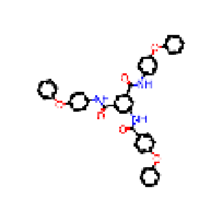 O=C(Nc1cc(C(=O)Nc2ccc(Oc3ccccc3)cc2)cc(C(=O)Nc2ccc(Oc3ccccc3)cc2)c1)c1ccc(Oc2ccccc2)cc1